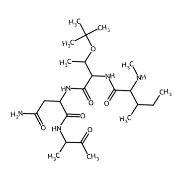 CCC(C)C(NC)C(=O)NC(C(=O)NC(CC(N)=O)C(=O)NC(C)C(C)=O)C(C)OC(C)(C)C